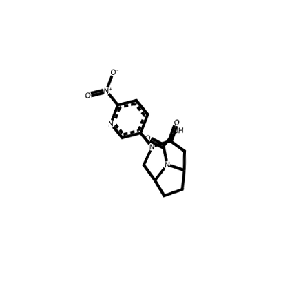 O=C1CC2CCC(CN1c1ccc([N+](=O)[O-])nc1)N2C(=O)O